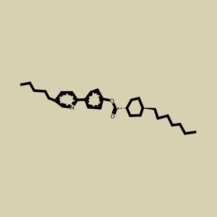 CCCCCCC[C@H]1CC[C@H](C(=O)Oc2ccc(-c3ccc(CCCCC)cn3)cc2)CC1